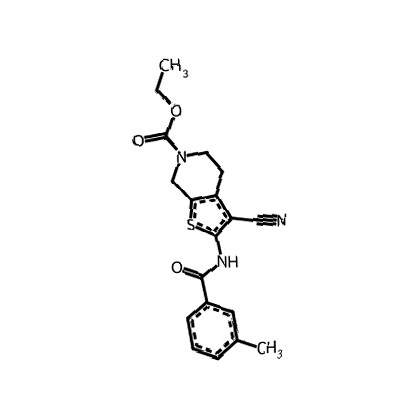 CCOC(=O)N1CCc2c(sc(NC(=O)c3cccc(C)c3)c2C#N)C1